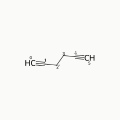 C#C[CH]CC#C